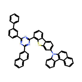 c1ccc(-c2cccc(-c3nc(-c4ccc5ccccc5c4)nc(-c4cccc5c4sc4cc(-n6c7ccccc7c7c8ccccc8ccc76)ccc45)n3)c2)cc1